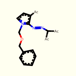 CC(=O)c1ccn(COCc2ccccc2)c1/N=N/C(C(C)=O)C(C)=O